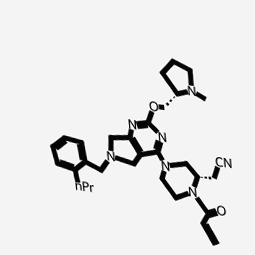 C=CC(=O)N1CCN(c2nc(OC[C@@H]3CCCN3C)nc3c2CN(Cc2ccccc2CCC)C3)C[C@@H]1CC#N